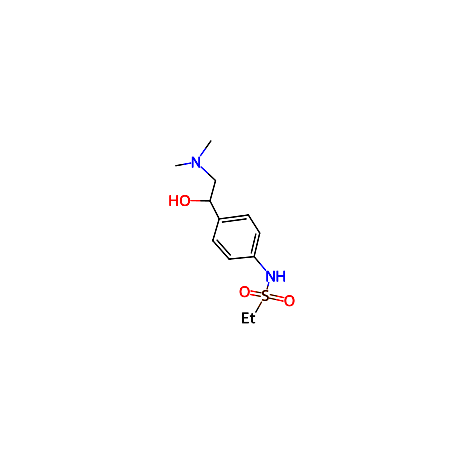 CCS(=O)(=O)Nc1ccc(C(O)CN(C)C)cc1